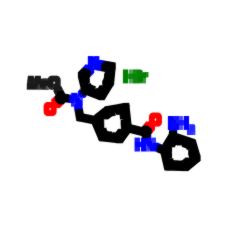 Br.COC(=O)N(Cc1ccc(C(=O)Nc2ccccc2N)cc1)c1cccnc1